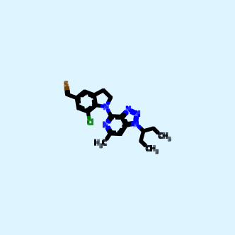 CCC(CC)n1nnc2c(N3CCc4cc(C=S)cc(Cl)c43)nc(C)cc21